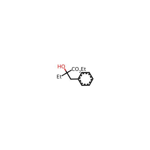 CCOC(=O)C(O)(CC)Cc1ccccc1